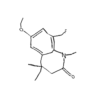 COc1cc(F)c2c(c1)C(C)(C)CC(=O)N2C